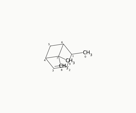 CC1[C]=CC2CC1C2(C)C